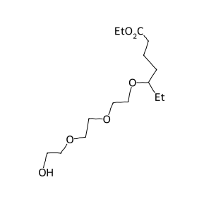 CCOC(=O)CCCC(CC)OCCOCCOCCO